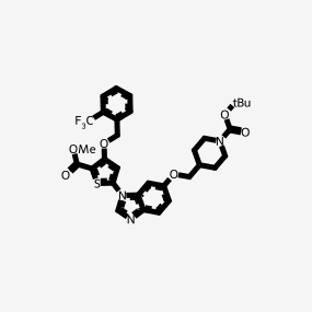 COC(=O)c1sc(-n2cnc3ccc(OCC4CCN(C(=O)OC(C)(C)C)CC4)cc32)cc1OCc1ccccc1C(F)(F)F